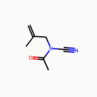 C=C(C)CN(C#N)C(C)=O